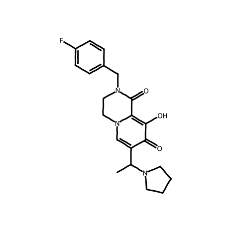 CC(c1cn2c(c(O)c1=O)C(=O)N(Cc1ccc(F)cc1)CC2)N1CCCC1